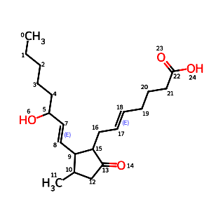 CCCCCC(O)/C=C/C1C(C)CC(=O)C1C/C=C/CCCC(=O)O